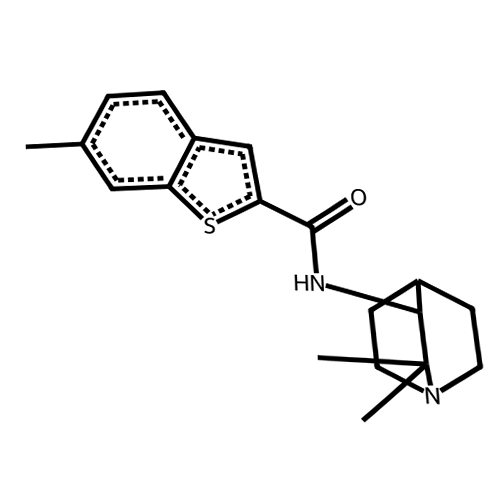 Cc1ccc2cc(C(=O)NC3C4CCN(CC4)C3(C)C)sc2c1